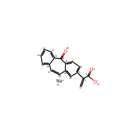 C=C(C(=O)[O-])c1ccc2c(=O)c3ccccc3ccc2c1.[Na+]